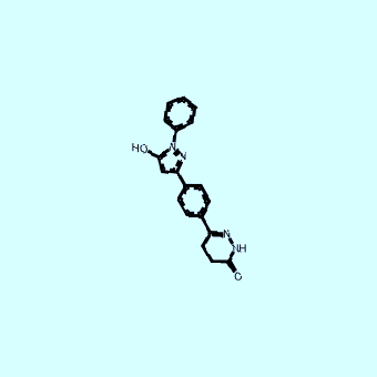 O=C1CCC(c2ccc(-c3cc(O)n(-c4ccccc4)n3)cc2)=NN1